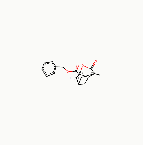 O=C1O[C@H]2C3CC([C@@H]2I)[C@H](C(=O)OCc2ccccc2)[C@H]13